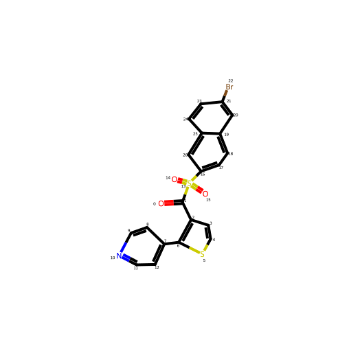 O=C(c1ccsc1-c1ccncc1)S(=O)(=O)c1ccc2cc(Br)ccc2c1